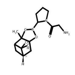 CC12OB(C3CCCN3C(=O)CN)OC1C[C@@H]1CC2C1(C)C